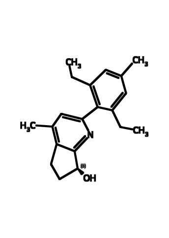 CCc1cc(C)cc(CC)c1-c1cc(C)c2c(n1)[C@@H](O)CC2